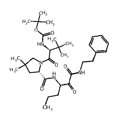 CCCC(NC(=O)[C@@H]1CC(C)(C)CN1C(=O)[C@@H](NC(=O)OC(C)(C)C)C(C)(C)C)C(=O)C(=O)NCCc1ccccc1